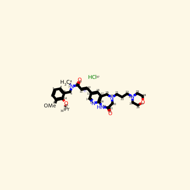 COc1cccc(CN(C)C(=O)/C=C/c2cnc3c(c2)CN(CCCN2CCOCC2)CC(=O)N3)c1OC(C)C.Cl